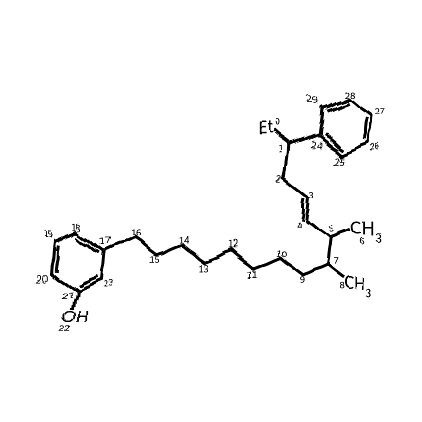 CCC(CC=CC(C)C(C)CCCCCCCCc1cccc(O)c1)c1ccccc1